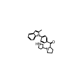 Cc1cc2ccccc2n1-c1ccc(C(=O)C2CCCN2C2CCNC2)cc1